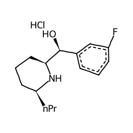 CCC[C@H]1CCC[C@@H]([C@@H](O)c2cccc(F)c2)N1.Cl